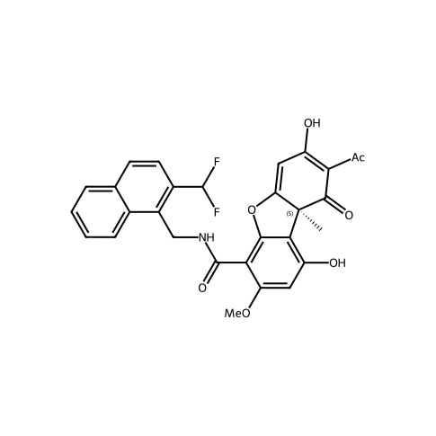 COc1cc(O)c2c(c1C(=O)NCc1c(C(F)F)ccc3ccccc13)OC1=CC(O)=C(C(C)=O)C(=O)[C@]12C